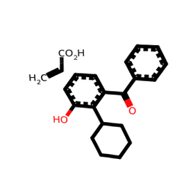 C=CC(=O)O.O=C(c1ccccc1)c1cccc(O)c1C1CCCCC1